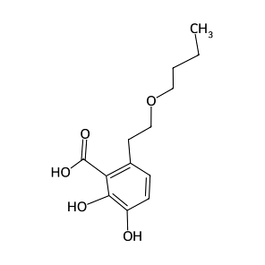 CCCCOCCc1ccc(O)c(O)c1C(=O)O